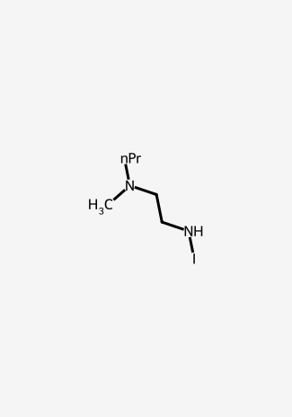 CCCN(C)CCNI